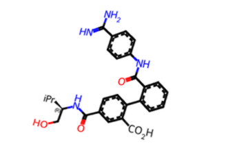 CC(C)[C@H](CO)NC(=O)c1ccc(-c2ccccc2C(=O)Nc2ccc(C(=N)N)cc2)c(C(=O)O)c1